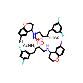 CC(=O)N[C@@H](Cc1cc(F)cc(F)c1)[C@H](O)CNC1CCOc2ccc(I)cc21.CCc1ccc2c(c1)C(NC[C@@H](O)[C@H](Cc1cc(F)cc(F)c1)NC(C)=O)CCO2